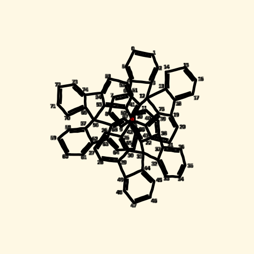 c1ccc2c(c1)-c1ccccc1C21c2ccccc2-c2cccc(N(c3cccc4c3C3(c5ccccc5-c5ccccc53)c3ccccc3-4)c3cccc4c3C3(c5ccccc5-c5ccccc53)c3ccccc3-4)c21